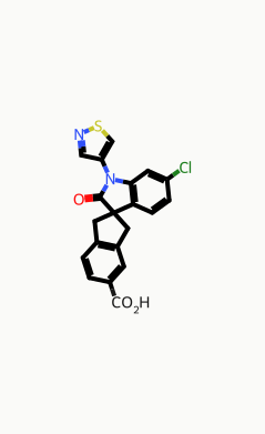 O=C(O)c1ccc2c(c1)CC1(C2)C(=O)N(c2cnsc2)c2cc(Cl)ccc21